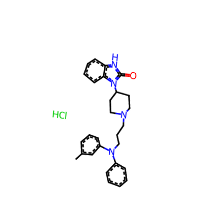 Cc1cccc(N(CCCN2CCC(n3c(=O)[nH]c4ccccc43)CC2)c2ccccc2)c1.Cl